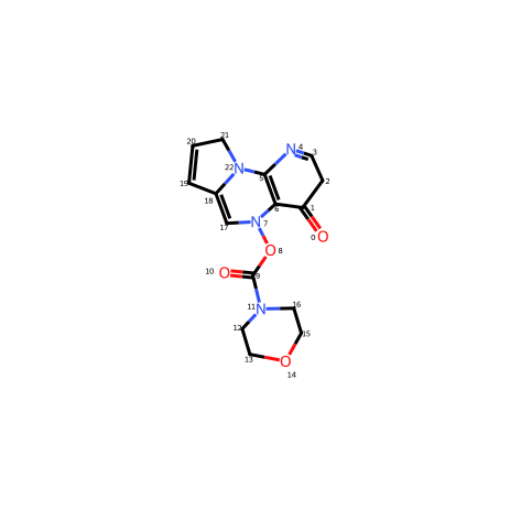 O=C1CC=NC2=C1N(OC(=O)N1CCOCC1)C=C1C=CCN12